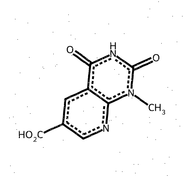 Cn1c(=O)[nH]c(=O)c2cc(C(=O)O)cnc21